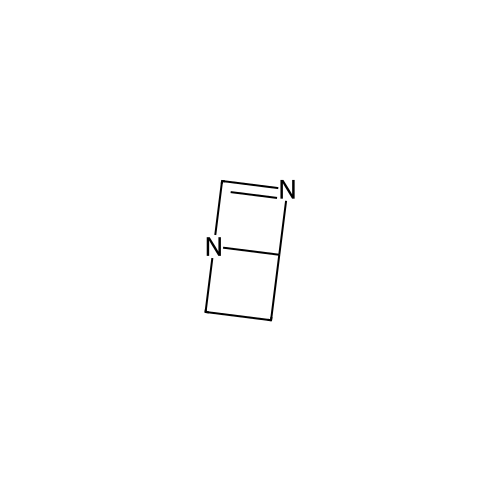 C1=NC2CCN12